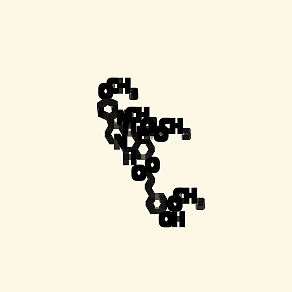 COC(=O)[C@@H]1C[C@H](OC(=O)/C=C/c2ccc(O)c(OC)c2)C[C@@H]2CN3CCc4c(n(C)c5cc(OC)ccc45)[C@H]3C[C@@H]21